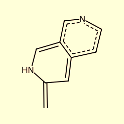 C=C1C=c2ccncc2=CN1